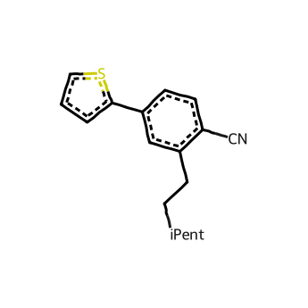 CCCC(C)CCc1cc(-c2cccs2)ccc1C#N